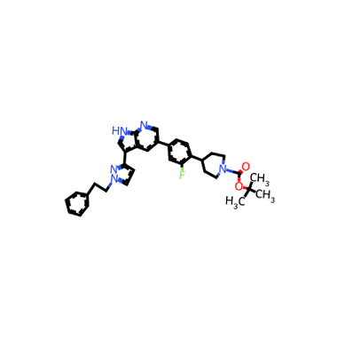 CC(C)(C)OC(=O)N1CCC(c2ccc(-c3cnc4[nH]cc(-c5ccn(CCc6ccccc6)n5)c4c3)cc2F)CC1